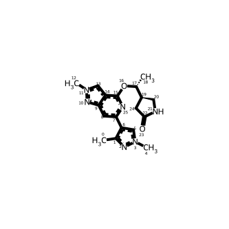 Cc1nn(C)cc1-c1cc2nn(C)cc2c(O[C@H](C)[C@H]2CNC(=O)C2)n1